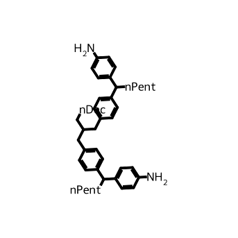 CCCCCCCCCCCC(Cc1ccc(C(CCCCC)c2ccc(N)cc2)cc1)Cc1ccc(C(CCCCC)c2ccc(N)cc2)cc1